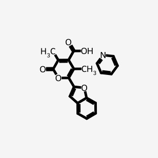 Cc1c(-c2cc3ccccc3o2)oc(=O)c(C)c1C(=O)O.c1ccncc1